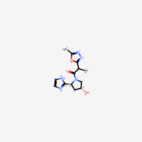 CCCc1nnc(C(C(=O)N2C[C@H](O)C[C@H]2c2ncc[nH]2)C(C)C)o1